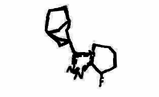 FC1CCCCn2c1nnc2C12CC3CCCC(C3)(C1)C2